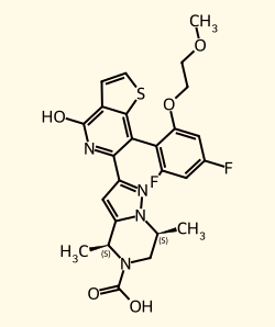 COCCOc1cc(F)cc(F)c1-c1c(-c2cc3n(n2)[C@@H](C)CN(C(=O)O)[C@H]3C)nc(O)c2ccsc12